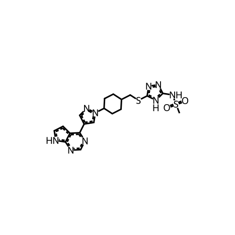 CS(=O)(=O)Nc1nnc(SCC2CCC(n3cc(-c4ncnc5[nH]ccc45)cn3)CC2)[nH]1